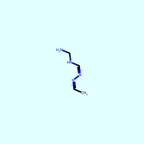 C/C=N\N=C/NCN